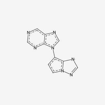 C1=Nn2ccc(-n3cnc4cncnc43)c2[N]1